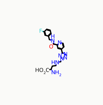 NC(CCNCn1nnc(-c2ccnc(C(=O)NCc3cccc(F)c3)c2)n1)C(=O)O